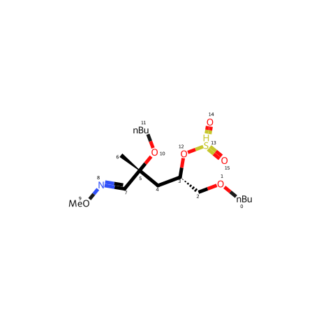 CCCCOC[C@H](C[C@](C)(/C=N/OC)OCCCC)O[SH](=O)=O